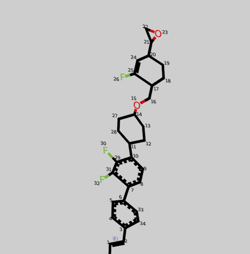 C/C=C/c1ccc(-c2ccc(C3CCC(OCC4CCC(C5CO5)C=C4F)CC3)c(F)c2F)cc1